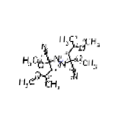 COC(C)CC(C#N)(/N=N/C(C#N)(CC(C)OC)OC)OC